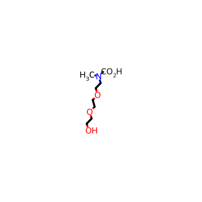 CN(CCOCCOCCO)C(=O)O